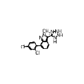 Cn1nc2c(-c3ccc(Cl)cc3Cl)cccc2c1C1=NNNN1